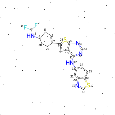 FC(F)NC1CC=C(c2cc3c(Nc4ccc5scnc5c4)ncnc3s2)CC1